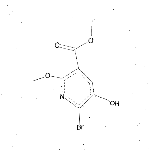 COC(=O)c1cc(O)c(Br)nc1OC